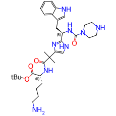 CC(C)(C)OC(=O)[C@@H](CCCCN)NC(=O)C(C)(C)c1c[nH]c([C@@H](Cc2c[nH]c3ccccc23)NC(=O)N2CCNCC2)n1